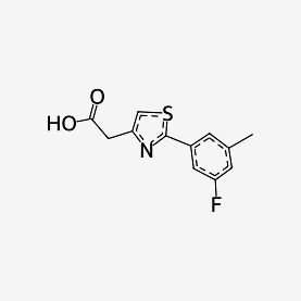 Cc1cc(F)cc(-c2nc(CC(=O)O)cs2)c1